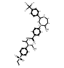 CCS(=O)(=O)c1ccc([C@H](CO)C(C)NC(=O)c2ccc(N3CC(c4ccc(C(F)(F)F)cc4)OCCC3O)cc2)cc1